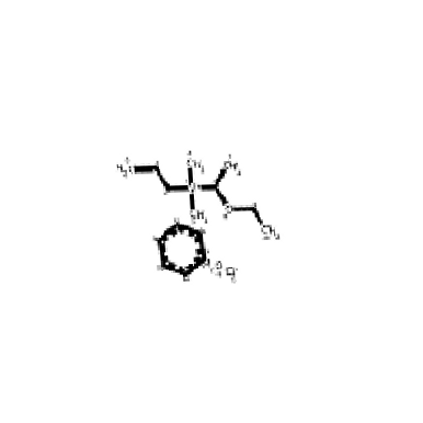 C=CC[N+](C)(C)C(C)OCC.O.[Cl-].c1ccccc1